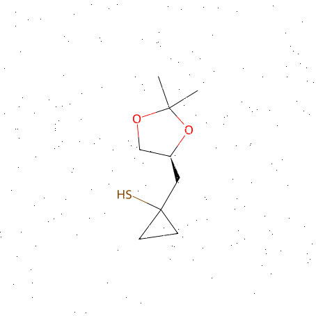 CC1(C)OC[C@H](CC2(S)CC2)O1